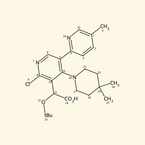 Cc1ccc(-c2cnc(Cl)c(C(OC(C)(C)C)C(=O)O)c2N2CCC(C)(C)CC2)nc1